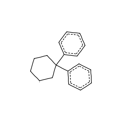 [CH]1CCCC(c2ccccc2)(c2ccccc2)C1